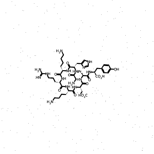 CC(C)[C@H](NC(=O)[C@H](CC(=O)O)NC(=O)[C@H](CCCCN)NC(=O)[C@H](CCCNC(=N)N)NC(=O)[C@H](CCCCN)NC(=O)[C@H](Cc1c[nH]cn1)NC(=O)CN)C(=O)N[C@@H](Cc1ccc(O)cc1)C(=O)O